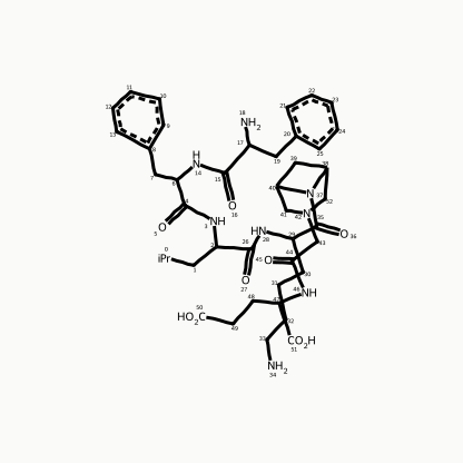 CC(C)CC(NC(=O)C(Cc1ccccc1)NC(=O)C(N)Cc1ccccc1)C(=O)NC(CCCCN)C(=O)N1C2CC1CN(CC(=O)NC(CCC(=O)O)C(=O)O)C2